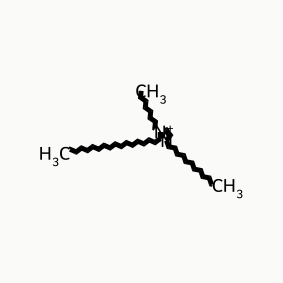 CCCCCCCCCCCCCCCCCc1n(CCCCCCCCCCCC)cc[n+]1CCCCCCCC